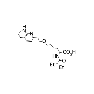 CCC(CC)C(=O)NC(CCCCOCCc1ccc2c(n1)NCCC2)C(=O)O